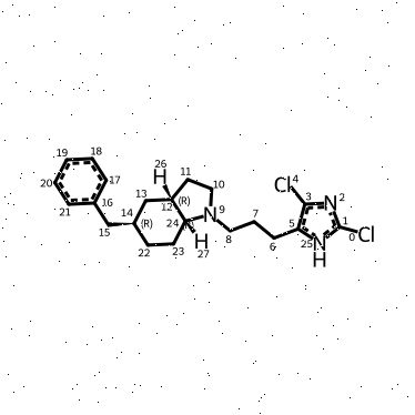 Clc1nc(Cl)c(CCCN2CC[C@H]3C[C@H](Cc4ccccc4)CC[C@H]32)[nH]1